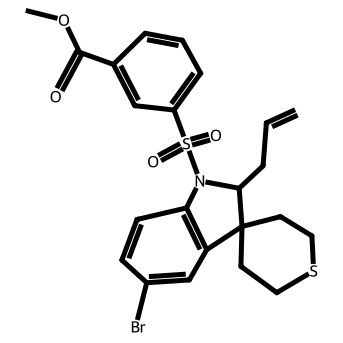 C=CCC1N(S(=O)(=O)c2cccc(C(=O)OC)c2)c2ccc(Br)cc2C12CCSCC2